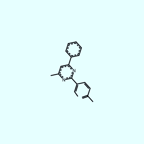 C=C(C)/C=C\C(=C/C)c1nc(C)cc(-c2ccccc2)n1